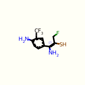 N/C(=C(\S)CF)c1ccc(N)c(C(F)(F)F)c1